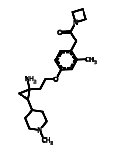 Cc1cc(OCCC2(N)CC2C2CCN(C)CC2)ccc1CC(=O)N1CCC1